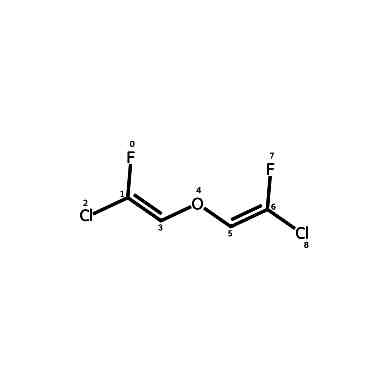 F/C(Cl)=C\O/C=C(\F)Cl